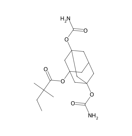 CCC(C)(C)C(=O)OC12CC3CC(OC(N)=O)(CC(OC(N)=O)(C3)C1)C2